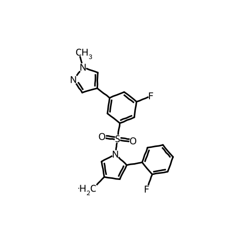 [CH2]c1cc(-c2ccccc2F)n(S(=O)(=O)c2cc(F)cc(-c3cnn(C)c3)c2)c1